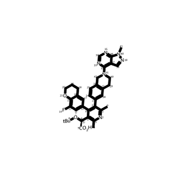 Cc1nc(C)c([C@H](OC(C)(C)C)C(=O)O)c(-c2cc(F)c3c(c2)CCCO3)c1-c1ccc2c(c1)CCN(c1ncnc3c1cnn3C)C2